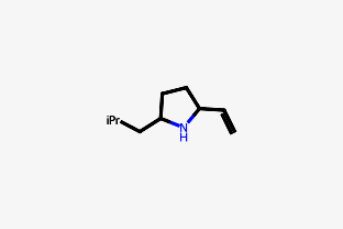 C=CC1CCC(CC(C)C)N1